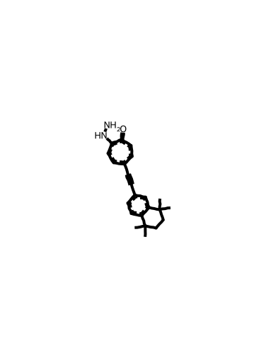 CC1(C)CCC(C)(C)c2cc(C#Cc3ccc(NN)c(=O)cc3)ccc21